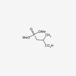 COP(=O)(CC(C)C(=O)O)OC